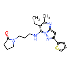 CCc1c(C)nc2cc(-c3cccs3)nn2c1NCCCN1CCCC1=O